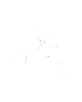 Cc1nc(-c2cccnc2)sc1C(=O)N(C)[C@H](C)c1ccccn1